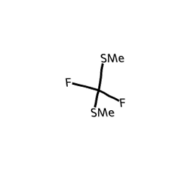 CSC(F)(F)SC